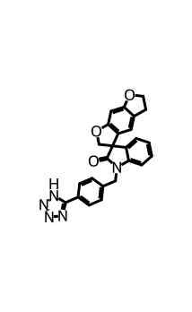 O=C1N(Cc2ccc(-c3nnn[nH]3)cc2)c2ccccc2C12COc1cc3c(cc12)CCO3